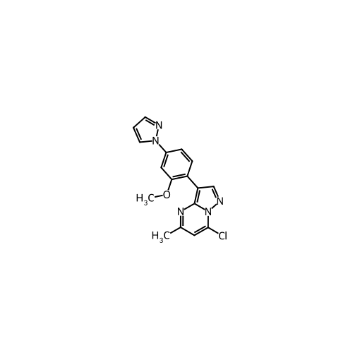 COc1cc(-n2cccn2)ccc1-c1cnn2c(Cl)cc(C)nc12